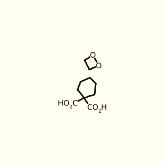 C1COO1.O=C(O)C1(C(=O)O)CCCCC1